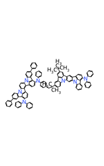 CC(C)(C)c1cc2c3cc(C(C)(C)Cc4ccc(N(c5ccccc5)c5ccc6c7c8c9ccc(N(c%10ccccc%10)c%10ccccc%10)c%10c%11cc(-c%12ccccc%12)ccc%11n(c8ccc7n7c8ccc(-c%11ccccc%11)cc8c5c67)c9%10)cc4)ccc3n3c4cc5c(cc4c(c1)c23)c1ccc(N(c2ccccc2)c2ccccc2)c2c3ccccc3n5c12